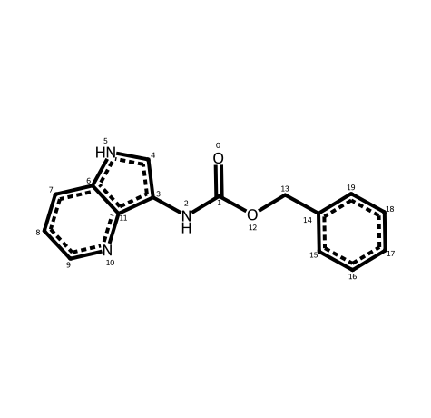 O=C(Nc1c[nH]c2cccnc12)OCc1ccccc1